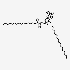 CCCCCCCCCCCCCCCCCCC1=NCC[N+]1(C)CCNC(=O)CCCCCCCCCCCCCCC.COS(=O)(=O)[O-]